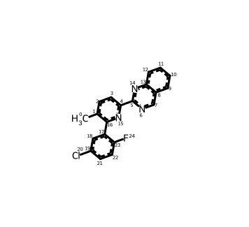 Cc1ccc(-c2ncc3ccccc3n2)nc1-c1cc(Cl)ccc1F